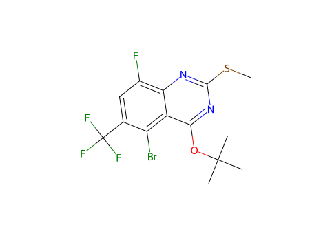 CSc1nc(OC(C)(C)C)c2c(Br)c(C(F)(F)F)cc(F)c2n1